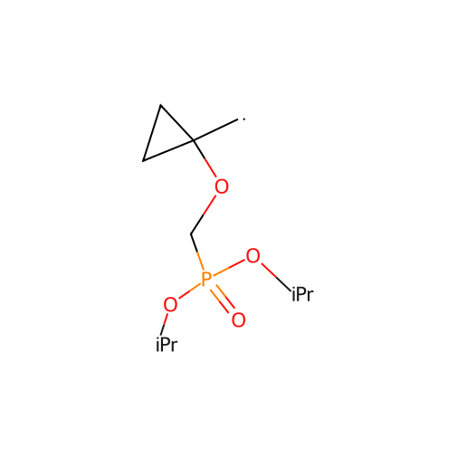 [CH2]C1(OCP(=O)(OC(C)C)OC(C)C)CC1